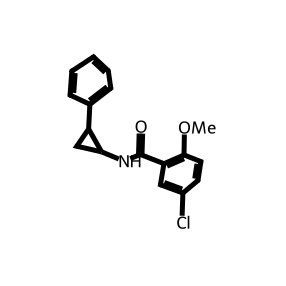 COc1ccc(Cl)cc1C(=O)NC1CC1c1ccccc1